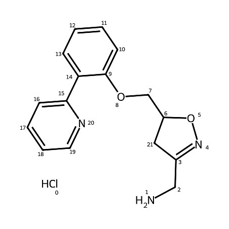 Cl.NCC1=NOC(COc2ccccc2-c2ccccn2)C1